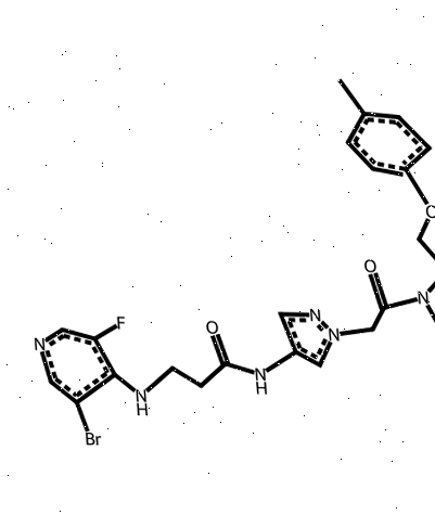 Cc1ccc(OCCN(C)C(=O)Cn2cc(NC(=O)CCNc3c(F)cncc3Br)cn2)cc1